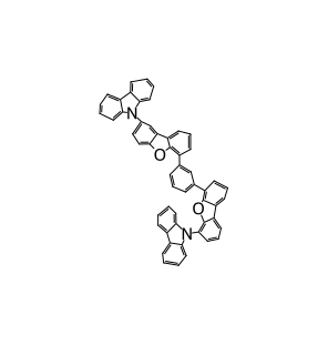 c1cc(-c2cccc3c2oc2ccc(-n4c5ccccc5c5ccccc54)cc23)cc(-c2cccc3c2oc2c(-n4c5ccccc5c5ccccc54)cccc23)c1